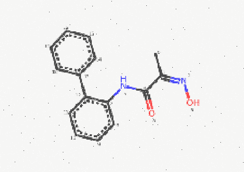 C/C(=N/O)C(=O)Nc1ccccc1-c1ccccc1